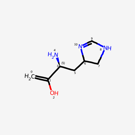 C=C(O)[C@@H](N)CC1CNC=N1